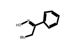 CC(C)(C)C/C(=N\O)c1ccccc1